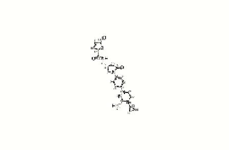 CC1=NN(c2ccc(N3C[C@H](CNC(=O)c4ccc(Cl)s4)OC3=O)cc2)CCN1C1CC1